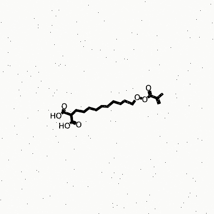 C=C(C)C(=O)OOCCCCCCCCCCC(C(=O)O)C(=O)O